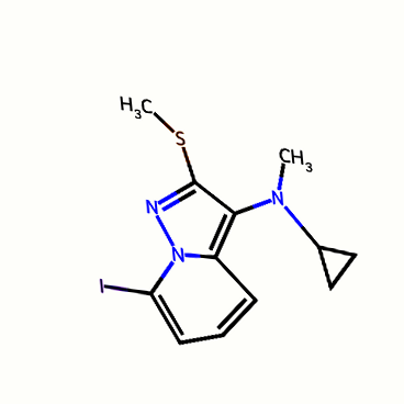 CSc1nn2c(I)cccc2c1N(C)C1CC1